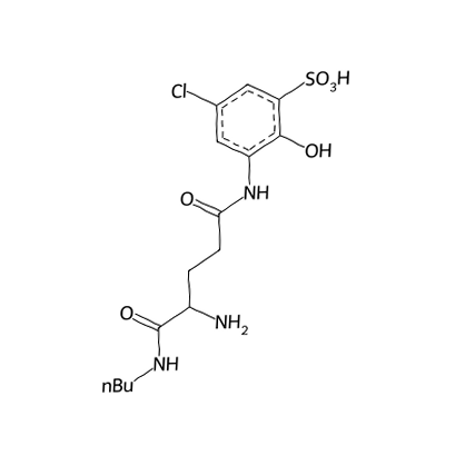 CCCCNC(=O)C(N)CCC(=O)Nc1cc(Cl)cc(S(=O)(=O)O)c1O